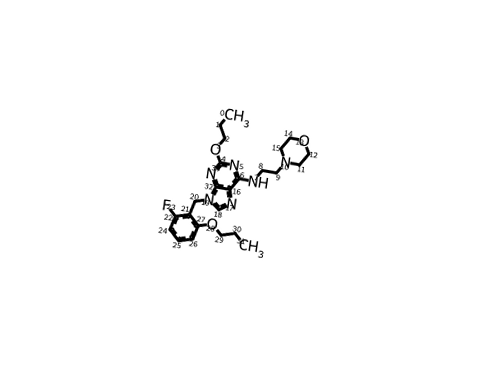 CCCOc1nc(NCCN2CCOCC2)c2ncn(Cc3c(F)cccc3OCCC)c2n1